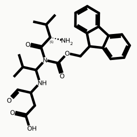 CC(C)C(NC(C=O)CC(=O)O)N(C(=O)OCC1c2ccccc2-c2ccccc21)C(=O)[C@@H](N)C(C)C